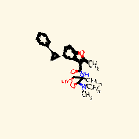 Cc1oc2ccc([C@@H]3C[C@H]3c3ccccc3)cc2c1C(=O)NC(C)(CO)C(=O)N(C)C